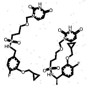 C[C@@H](NS(=O)(=O)CCCOCn1ccc(=O)[nH]c1=O)c1ccc(F)c(OCC2CC2)c1.O=c1ccn(COCCCS(=O)(=O)NCc2ccc(F)c(OCC3CC3)c2)c(=O)[nH]1